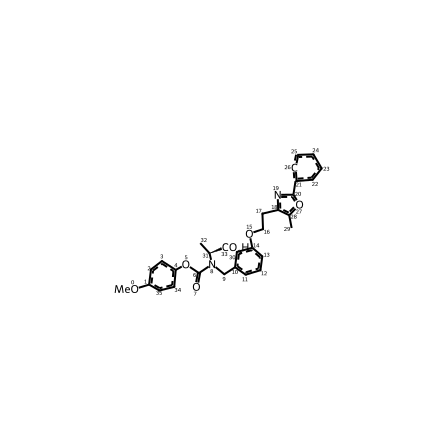 COc1ccc(OC(=O)N(Cc2cccc(OCCc3nc(-c4ccccc4)oc3C)c2)[C@@H](C)C(=O)O)cc1